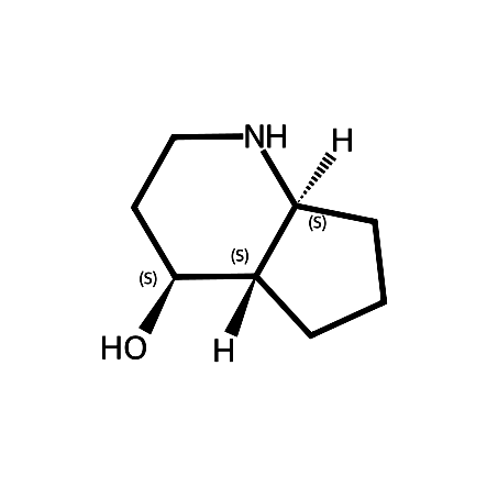 O[C@H]1CCN[C@H]2CCC[C@@H]21